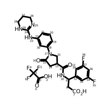 O=C(O)C(F)(F)F.O=C(O)CC(NC(=O)C1CC(=O)N(c2cccc(NC3=NCCCN3)c2)C1)c1cc(F)cc(F)c1